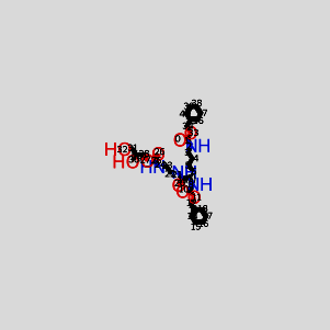 O=C(NCCCC[C@H](NC(=O)OCc1ccccc1)C(=O)NCCNC(=O)OC[C@H](O)CO)OCc1ccccc1